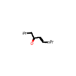 CCCC=CC(=O)CC(C)C